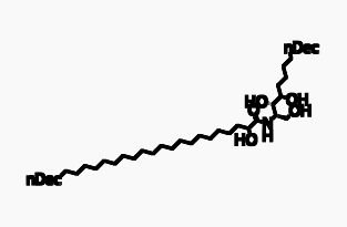 CCCCCCCCCCCCCCCCCCCCCCCCCCCCCC(O)C(=O)N[C@H](CO)[C@H](O)C(O)CCCCCCCCCCCCCC